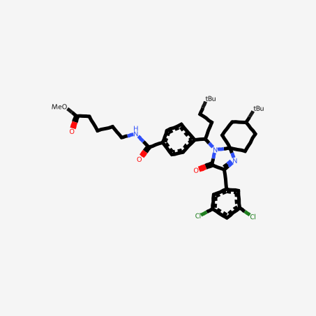 COC(=O)CCCCNC(=O)c1ccc(C(CCC(C)(C)C)N2C(=O)C(c3cc(Cl)cc(Cl)c3)=NC23CCC(C(C)(C)C)CC3)cc1